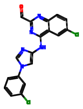 O=Cc1nc(Nc2cn(-c3cccc(Cl)c3)cn2)c2cc(Cl)ccc2n1